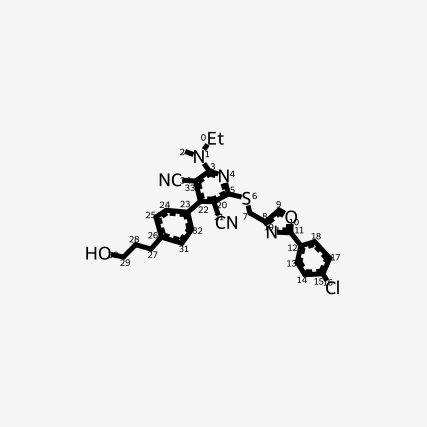 CCN(C)c1nc(SCc2coc(-c3ccc(Cl)cc3)n2)c(C#N)c(-c2ccc(CCCO)cc2)c1C#N